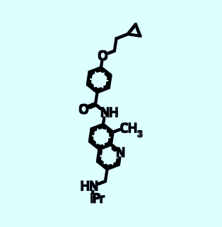 Cc1c(NC(=O)c2ccc(OCCC3CC3)cc2)ccc2cc(CNC(C)C)cnc12